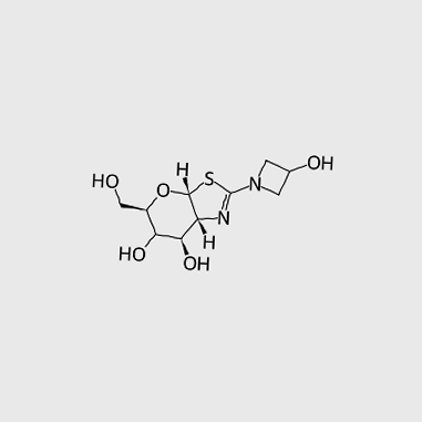 OC[C@H]1O[C@@H]2SC(N3CC(O)C3)=N[C@@H]2[C@@H](O)C1O